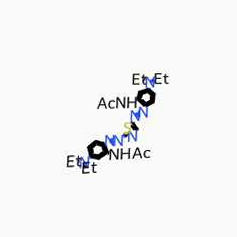 CCN(CC)c1ccc(N=Nc2cnc(N=Nc3ccc(N(CC)CC)cc3NC(C)=O)s2)c(NC(C)=O)c1